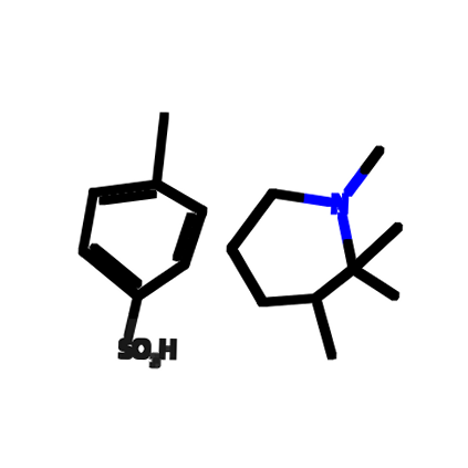 CC1CCCN(C)C1(C)C.Cc1ccc(S(=O)(=O)O)cc1